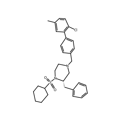 Cc1ccc(Cl)c(-c2ccc(CN3CCN(S(=O)(=O)C4CCCCC4)[C@@H](Cc4ccccc4)C3)cc2)c1